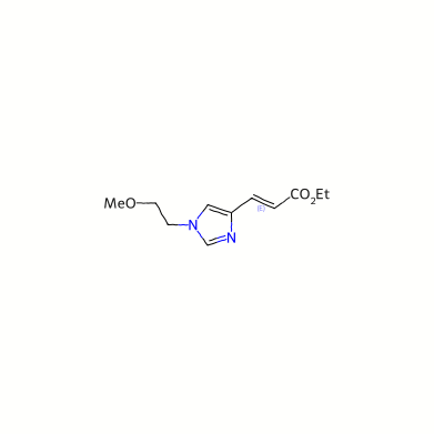 CCOC(=O)/C=C/c1cn(CCOC)cn1